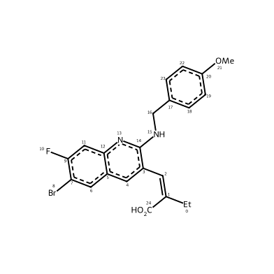 CCC(=Cc1cc2cc(Br)c(F)cc2nc1NCc1ccc(OC)cc1)C(=O)O